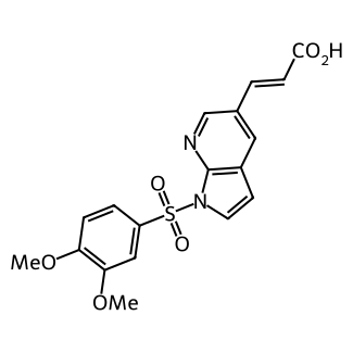 COc1ccc(S(=O)(=O)n2ccc3cc(C=CC(=O)O)cnc32)cc1OC